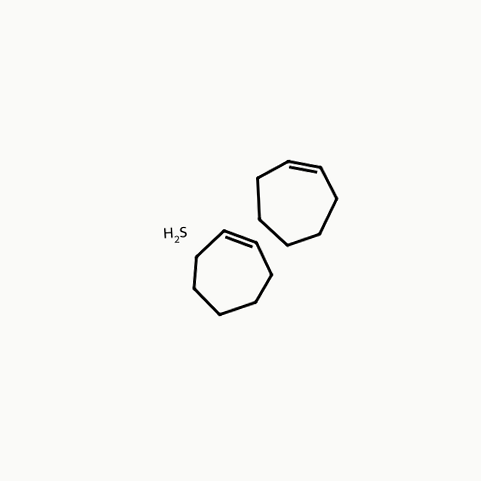 C1=CCCCCC1.C1=CCCCCC1.S